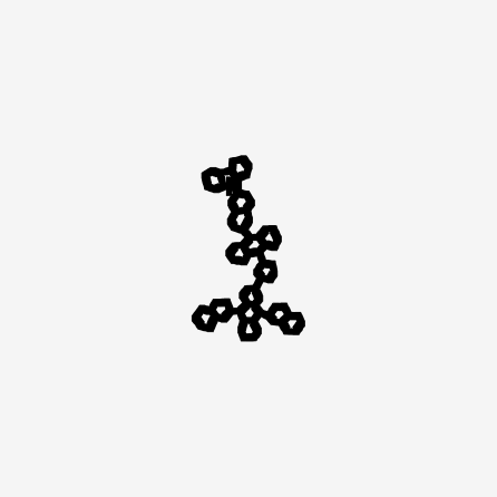 c1cc(-c2ccc3c(-c4ccc5ccccc5c4)c4ccccc4c(-c4ccc5ccccc5c4)c3c2)cc(-c2c3ccccc3c(-c3ccc4cc(-n5c6ccccc6c6ccccc65)ccc4c3)c3ccccc23)c1